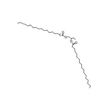 CCCCCCCCCCCCCCCCCC(=O)OCC(CC)OC(=O)CCCCCCCCCCCCCCCCC